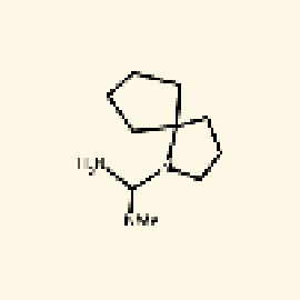 CNC(N)N1CCCC12CCCC2